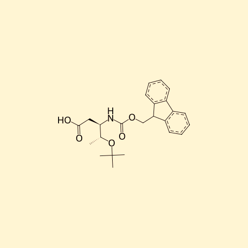 C[C@@H](OC(C)(C)C)[C@@H](CC(=O)O)NC(=O)OCC1c2ccccc2-c2ccccc21